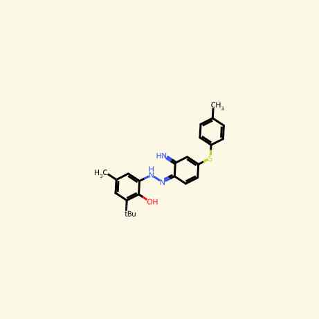 Cc1ccc(SC2=CC(=N)/C(=N\Nc3cc(C)cc(C(C)(C)C)c3O)C=C2)cc1